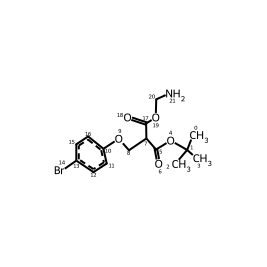 CC(C)(C)OC(=O)C(COc1ccc(Br)cc1)C(=O)OCN